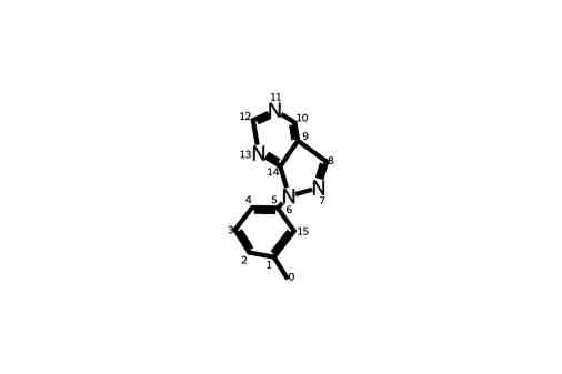 Cc1cccc(-n2ncc3cncnc32)c1